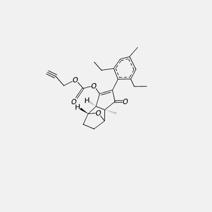 C#CCOC(=O)OC1=C(c2c(CC)cc(C)cc2CC)C(=O)[C@@]2(C)C3CC[C@@H](O3)[C@@H]12